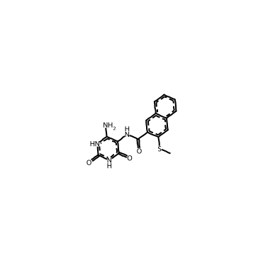 CSc1cc2ccccc2cc1C(=O)Nc1c(N)[nH]c(=O)[nH]c1=O